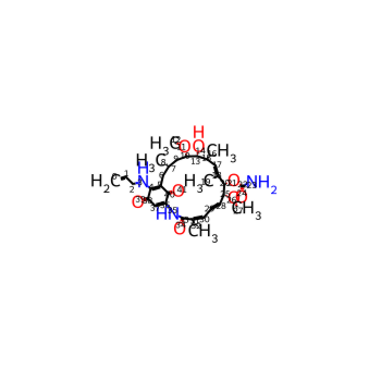 C=CCNC1=C2C[C@@H](C)C[C@H](OC)[C@H](O)[C@@H](C)/C=C(\C)[C@H](OC(N)=O)[C@H](OC)/C=C/C=C(/C)C(=O)NC(=CC1=O)C2=O